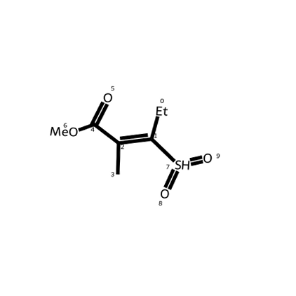 CCC(=C(C)C(=O)OC)[SH](=O)=O